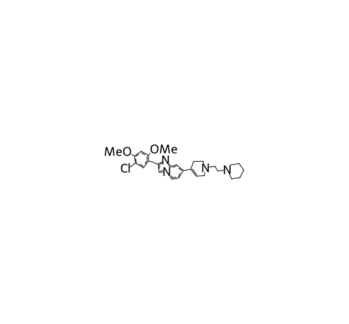 COc1cc(OC)c(-c2cn3ccc(C4=CCN(CCN5CCCCC5)CC4)cc3n2)cc1Cl